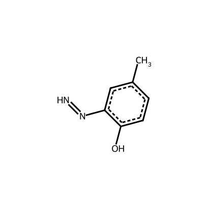 Cc1ccc(O)c(N=N)c1